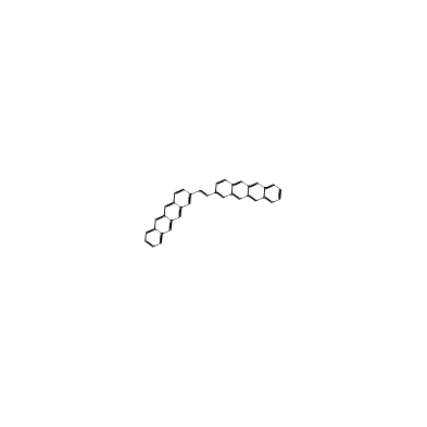 C(=Cc1ccc2cc3cc4ccccc4cc3cc2c1)c1ccc2cc3cc4ccccc4cc3cc2c1